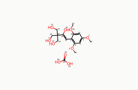 COc1cc(OC)c(C=C(O)C(CO)(CO)CO)c(OC)c1.O=C(O)O